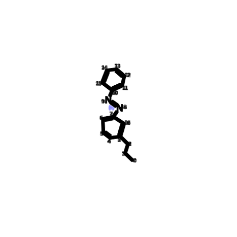 CCCc1cccc(/N=N/c2ccccc2)c1